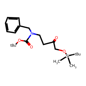 CC(C)(C)OC(=O)N(CCC(=O)CO[Si](C)(C)C(C)(C)C)Cc1ccccc1